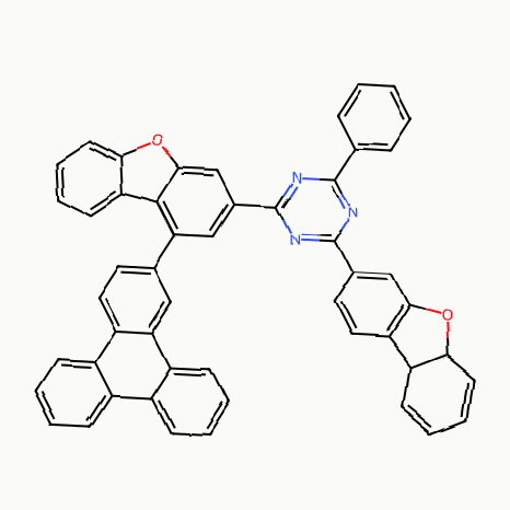 C1=CC2Oc3cc(-c4nc(-c5ccccc5)nc(-c5cc(-c6ccc7c8ccccc8c8ccccc8c7c6)c6c(c5)oc5ccccc56)n4)ccc3C2C=C1